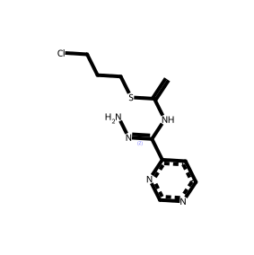 C=C(N/C(=N\N)c1ccncn1)SCCCCl